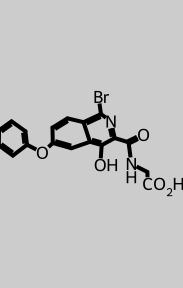 O=C(O)CNC(=O)c1nc(Br)c2ccc(Oc3ccccc3)cc2c1O